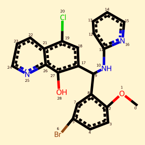 COc1ccc(Br)cc1C(Nc1ccccn1)c1cc(Cl)c2cccnc2c1O